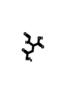 NC(=O)CC(NC=O)C(=O)O